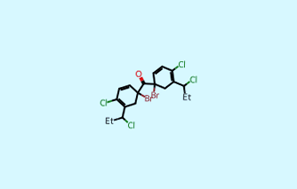 CCC(Cl)C1=C(Cl)C=CC(Br)(C(=O)C2(Br)C=CC(Cl)=C(C(Cl)CC)C2)C1